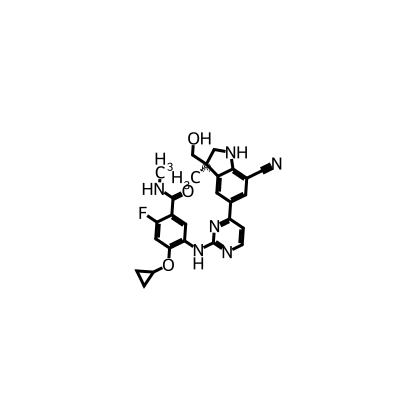 CNC(=O)c1cc(Nc2nccc(-c3cc(C#N)c4c(c3)[C@@](C)(CO)CN4)n2)c(OC2CC2)cc1F